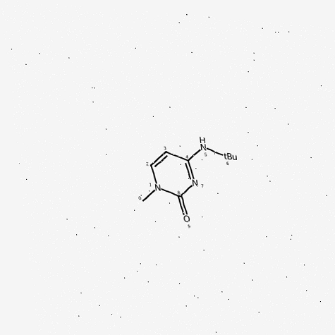 Cn1ccc(NC(C)(C)C)nc1=O